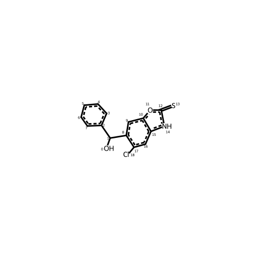 OC(c1ccccc1)c1cc2oc(=S)[nH]c2cc1Cl